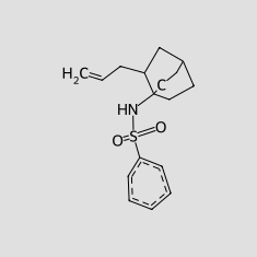 C=CCC1CC2CCC1(NS(=O)(=O)c1ccccc1)CC2